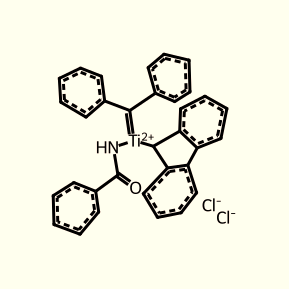 O=C([NH][Ti+2](=[C](c1ccccc1)c1ccccc1)[CH]1c2ccccc2-c2ccccc21)c1ccccc1.[Cl-].[Cl-]